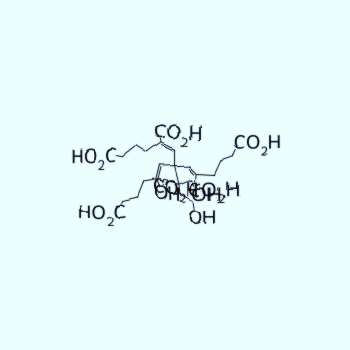 O=C(O)CCCC(=CC(C=C(CCCC(=O)O)C(=O)O)(C=C(CCCC(=O)O)C(=O)O)C(CO)(CO)CCO)C(=O)O